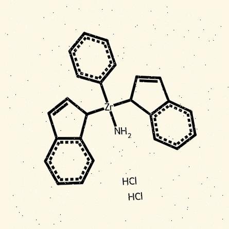 Cl.Cl.[NH2][Zr]([c]1ccccc1)([CH]1C=Cc2ccccc21)[CH]1C=Cc2ccccc21